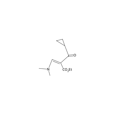 CCOC(=O)C(=CN(C)C)C(=O)C1CC1